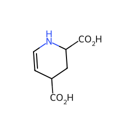 O=C(O)C1C=CNC(C(=O)O)C1